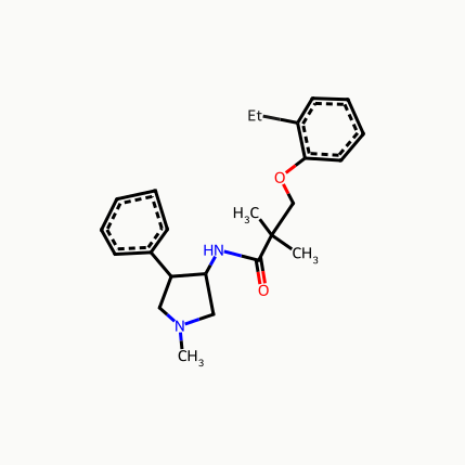 CCc1ccccc1OCC(C)(C)C(=O)NC1CN(C)CC1c1ccccc1